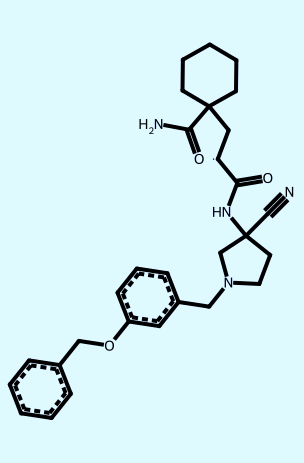 N#CC1(NC(=O)[CH]CC2(C(N)=O)CCCCC2)CCN(Cc2cccc(OCc3ccccc3)c2)C1